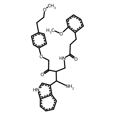 COCCc1ccc(OCC(=O)C(CNC(=O)CCc2ccccc2OC)C(N)c2c[nH]c3ccccc23)cc1